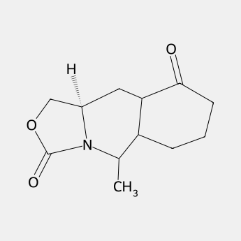 CC1C2CCCC(=O)C2C[C@@H]2COC(=O)N12